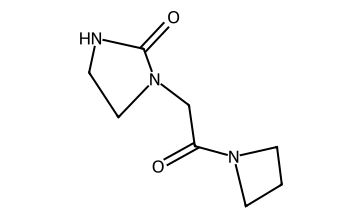 O=C(CN1CCNC1=O)N1CCC1